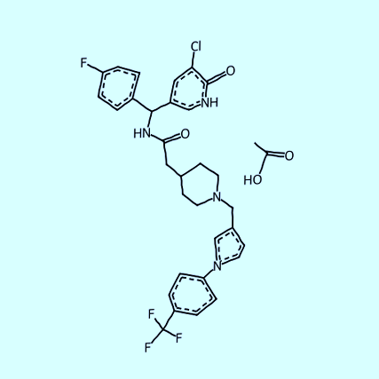 CC(=O)O.O=C(CC1CCN(Cc2ccn(-c3ccc(C(F)(F)F)cc3)c2)CC1)NC(c1ccc(F)cc1)c1c[nH]c(=O)c(Cl)c1